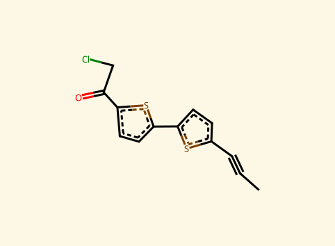 CC#Cc1ccc(-c2ccc(C(=O)CCl)s2)s1